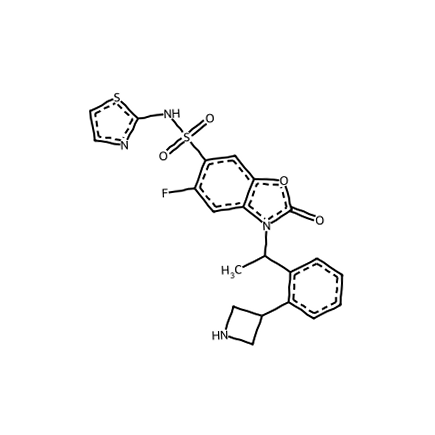 CC(c1ccccc1C1CNC1)n1c(=O)oc2cc(S(=O)(=O)Nc3nccs3)c(F)cc21